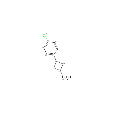 O=C(O)C1CC(c2ccc(Cl)cc2)C1